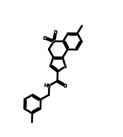 Cc1cccc(CNC(=O)c2cc3c(s2)-c2ccc(C)cc2S(=O)(=O)C3)c1